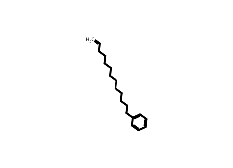 C=CCCCCCCCCCCCc1ccccc1